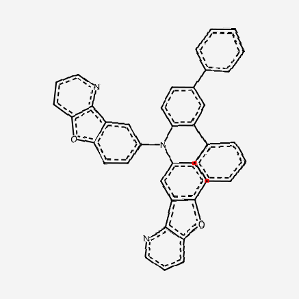 c1ccc(-c2ccc(N(c3ccc4oc5cccnc5c4c3)c3ccc4oc5cccnc5c4c3)c(-c3ccccc3)c2)cc1